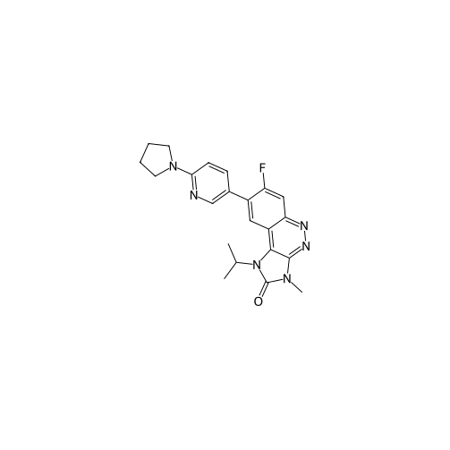 CC(C)n1c(=O)n(C)c2nnc3cc(F)c(-c4ccc(N5CCCC5)nc4)cc3c21